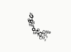 C=C/N=C(\C=C(/C)OC)NC(=O)c1cccc(CNc2ncc(-c3ccncc3)c3c2CCO3)c1